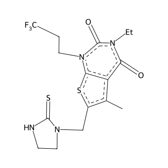 CCn1c(=O)c2c(C)c(CN3CCNC3=S)sc2n(CCC(F)(F)F)c1=O